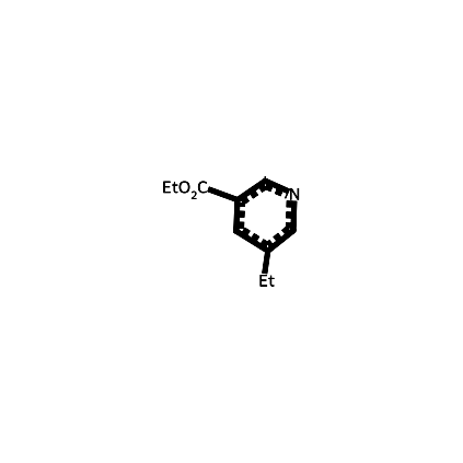 CCOC(=O)c1[c]ncc(CC)c1